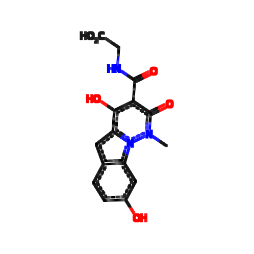 Cn1c(=O)c(C(=O)NCC(=O)O)c(O)c2cc3ccc(O)cc3n21